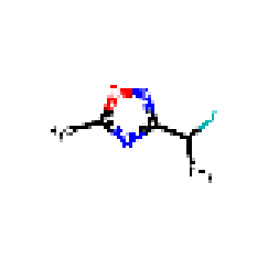 Cc1nc(C(C)F)no1